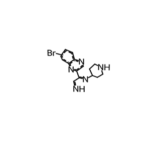 N=C/C(=N/C1CCNCC1)c1cnc2ccc(Br)cc2n1